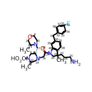 C[C@@H]1COCCN1C[C@H]1CN(C(=O)O)[C@H](C)CN1CC(=O)N1CC(C)(CCCN)c2ccc(Cc3ccc(F)cc3)cc21